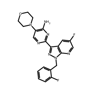 Nc1nc(-c2nn(Cc3ccccc3F)c3ncc(F)cc23)ncc1N1CCOCC1